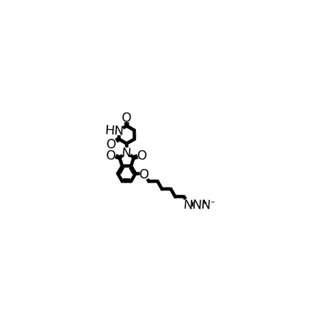 [N-]=[N+]=NCCCCCCOc1cccc2c1C(=O)N(C1CCC(=O)NC1=O)C2=O